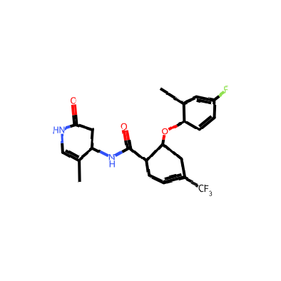 CC1=CNC(=O)CC1NC(=O)C1CC=C(C(F)(F)F)CC1OC1C=CC(F)=CC1C